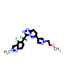 COCCn1cc(-c2ccc3nnc(C(F)(F)c4ccc5nn(C)cc5c4F)n3n2)cn1